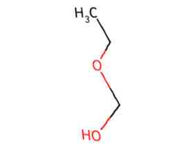 CCOCO